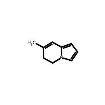 CC1=Cc2cccn2CC1